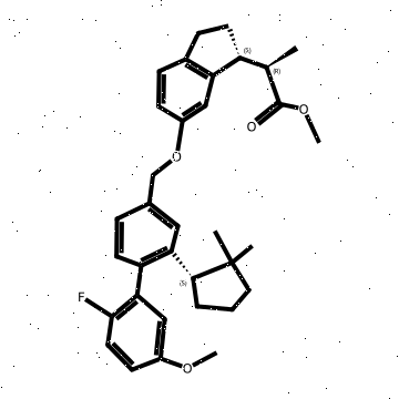 COC(=O)[C@H](C)[C@H]1CCc2ccc(OCc3ccc(-c4cc(OC)ccc4F)c([C@H]4CCCC4(C)C)c3)cc21